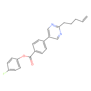 C=CCCCc1ncc(-c2ccc(C(=O)Oc3ccc(F)cc3)cc2)cn1